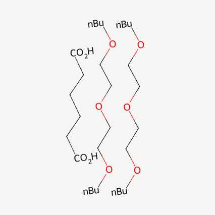 CCCCOCCOCCOCCCC.CCCCOCCOCCOCCCC.O=C(O)CCCCC(=O)O